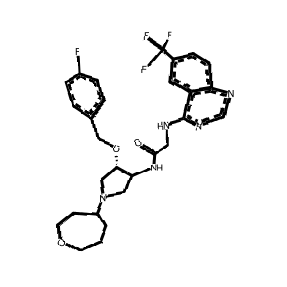 O=C(CNc1ncnc2ccc(C(F)(F)F)cc12)NC1CN(C2CCCOCC2)C[C@@H]1OCc1ccc(F)cc1